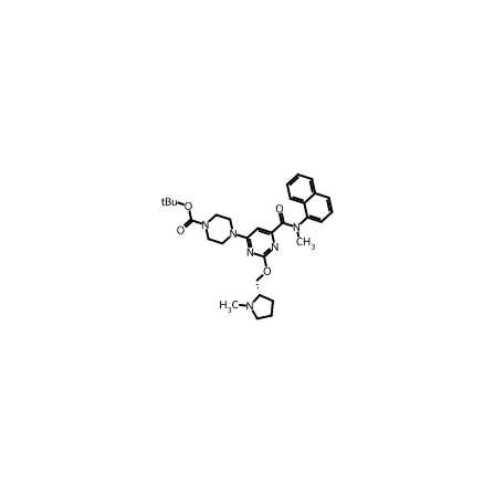 CN(C(=O)c1cc(N2CCN(C(=O)OC(C)(C)C)CC2)nc(OC[C@@H]2CCCN2C)n1)c1cccc2ccccc12